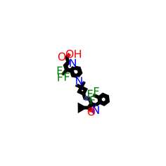 O=C(O)c1cc(C(F)(F)F)c2cc(N3CC4(CC(/C=C/c5c(-c6ccccc6C(F)(F)F)noc5C5CC5)C4)C3)ccc2n1